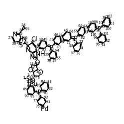 CC(C)(C)[Si](C)(C)O[C@@H]1COC2C1OC[C@H]2Oc1nc2nc(-c3nc4c(C5CC5)nccc4s3)c(Cl)cc2[nH]1.[Pd].c1ccc(P(c2ccccc2)c2ccccc2)cc1.c1ccc(P(c2ccccc2)c2ccccc2)cc1.c1ccc(P(c2ccccc2)c2ccccc2)cc1.c1ccc(P(c2ccccc2)c2ccccc2)cc1